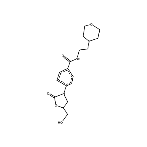 O=C(NCCN1CCOCC1)c1ccc(N2CC(CO)OC2=O)cc1